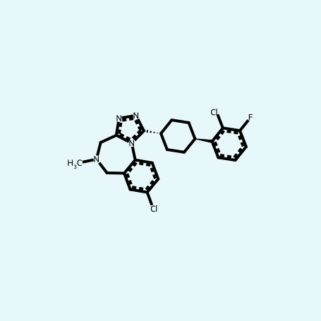 CN1Cc2cc(Cl)ccc2-n2c(nnc2[C@H]2CC[C@H](c3cccc(F)c3Cl)CC2)C1